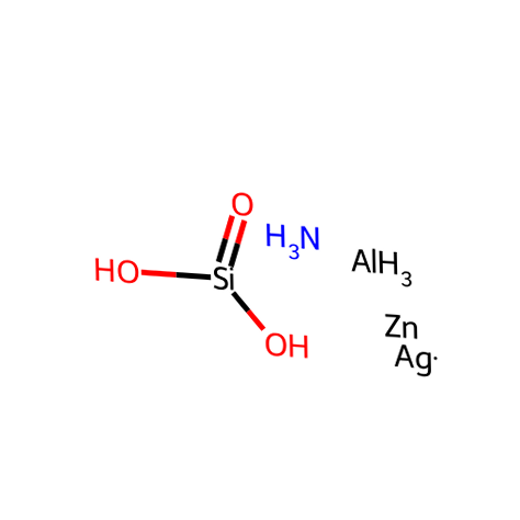 N.O=[Si](O)O.[Ag].[AlH3].[Zn]